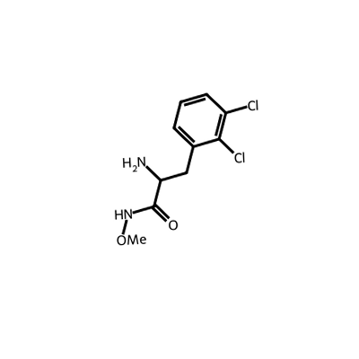 CONC(=O)C(N)Cc1cccc(Cl)c1Cl